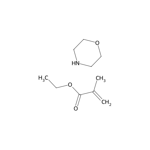 C1COCCN1.C=C(C)C(=O)OCC